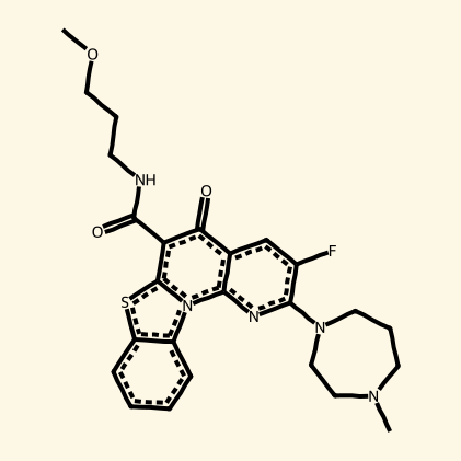 COCCCNC(=O)c1c(=O)c2cc(F)c(N3CCCN(C)CC3)nc2n2c1sc1ccccc12